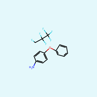 FCC(F)(F)C(F)(F)F.Nc1ccc(Oc2ccccc2)cc1